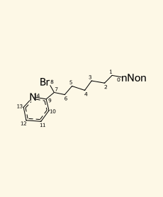 CCCCCCCCCCCCCCCC(Br)c1ccccn1